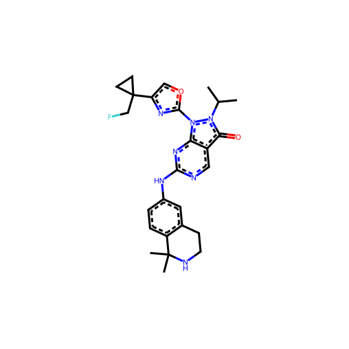 CC(C)n1c(=O)c2cnc(Nc3ccc4c(c3)CCNC4(C)C)nc2n1-c1nc(C2(CF)CC2)co1